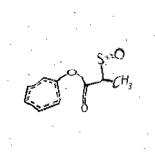 CC([S+]=O)C(=O)Oc1ccccc1